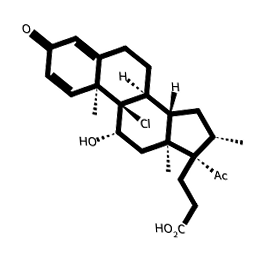 CC(=O)[C@@]1(CCC(=O)O)[C@@H](C)C[C@H]2[C@@H]3CCC4=CC(=O)C=C[C@]4(C)[C@@]3(Cl)[C@@H](O)C[C@@]21C